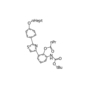 CCCCCCCOc1ccc(-c2nc(-c3cccc(NC(=O)OC(C)(C)C)c3OC(=O)CCC)cs2)cc1